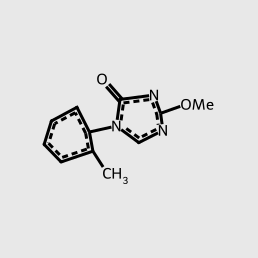 COc1ncn(-c2ccccc2C)c(=O)n1